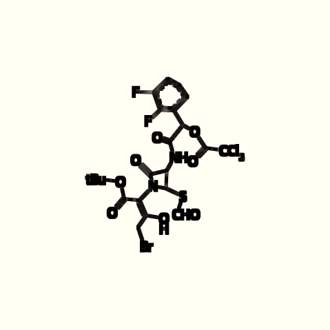 CC(C)(C)OC(=O)C(=C(O)CBr)N1C(=O)C(NC(=O)C(OC(=O)C(Cl)(Cl)Cl)c2cccc(F)c2F)C1SC=O